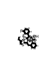 CCc1csc(C(Cc2ccccc2NS(=O)(=O)O)NC(=O)Cc2cccc(F)c2F)n1